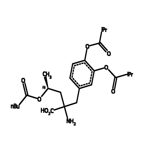 CCCCC(=O)O[C@@H](C)CC(N)(Cc1ccc(OC(=O)C(C)C)c(OC(=O)C(C)C)c1)C(=O)O